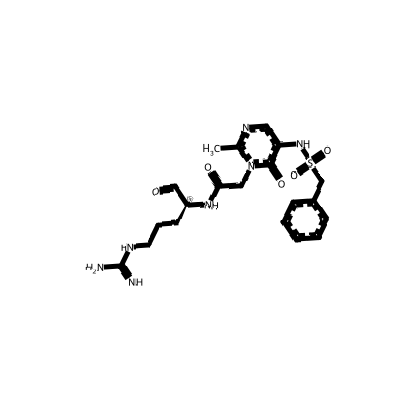 Cc1ncc(NS(=O)(=O)Cc2ccccc2)c(=O)n1CC(=O)N[C@H](C=O)CCCNC(=N)N